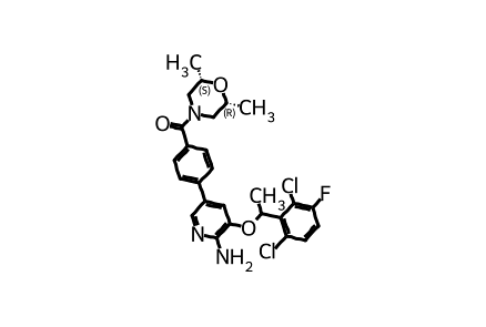 CC(Oc1cc(-c2ccc(C(=O)N3C[C@@H](C)O[C@@H](C)C3)cc2)cnc1N)c1c(Cl)ccc(F)c1Cl